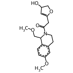 COCC1c2ccc(OC)cc2CCN1C(=O)CC1=CC(O)CO1